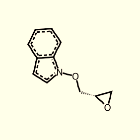 c1ccc2c(c1)ccn2OC[C@@H]1CO1